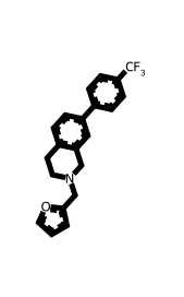 FC(F)(F)c1ccc(-c2ccc3c(c2)CN(Cc2ccco2)CC3)cc1